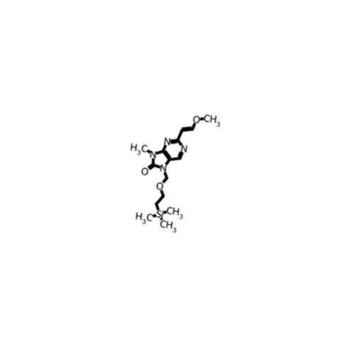 COC=Cc1ncc2c(n1)n(C)c(=O)n2COCC[Si](C)(C)C